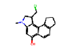 CN1CC(CCl)c2c1cc(O)c1ccc3c(c21)CCC3